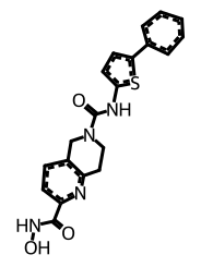 O=C(NO)c1ccc2c(n1)CCN(C(=O)Nc1ccc(-c3ccccc3)s1)C2